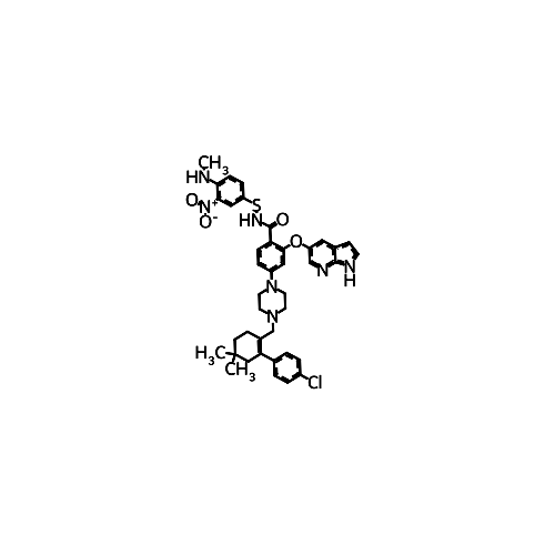 CNc1ccc(SNC(=O)c2ccc(N3CCN(CC4=C(c5ccc(Cl)cc5)CC(C)(C)CC4)CC3)cc2Oc2cnc3[nH]ccc3c2)cc1[N+](=O)[O-]